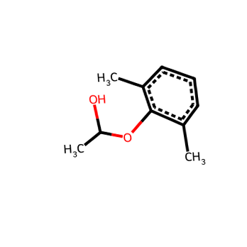 Cc1cccc(C)c1OC(C)O